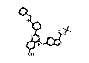 CC(C)(C)OC(=O)n1ncc2cc(Nc3nc(-c4cccc(NCc5cccnc5)c4)nc4ccc(O)cc34)ccc21